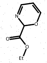 CCOC(=O)C1N=CC=CO1